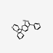 C1=CC(c2ccccc2)(c2ccncn2)Cc2[nH]nc(-c3cccnc3)c21